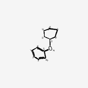 [CH]1CCC(Oc2ccccc2)CC1